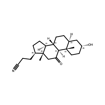 C[C@]12CC[C@@H](O)C[C@@H]1CC[C@H]1[C@@H]3CC[C@H](CCC#N)[C@@]3(C)CC(=O)[C@@H]12